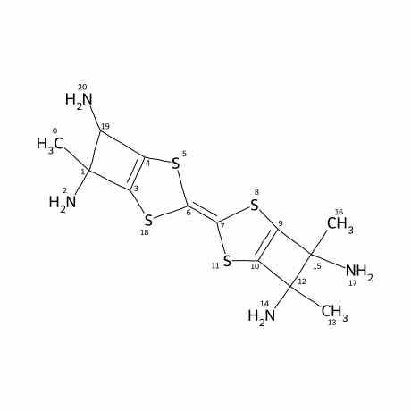 CC1(N)C2=C(SC(=C3SC4=C(S3)C(C)(N)C4(C)N)S2)C1N